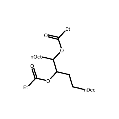 CCCCCCCCCCCCC(OC(=O)CC)C(CCCCCCCC)OC(=O)CC